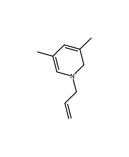 C=CCN1C=C(C)C=C(C)C1